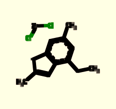 CCc1cc(C)cc2c1C=C(C)[CH]2.[Cl][Zr][Cl]